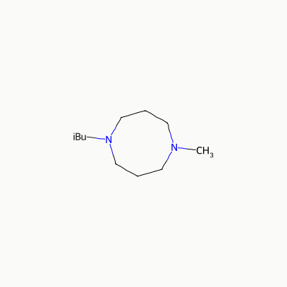 CCC(C)N1CCCN(C)CCC1